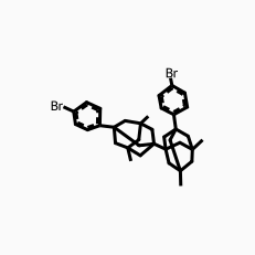 CC12CC3(C)CC(c4ccc(Br)cc4)(C1)CC(C14CC5(C)CC(C)(CC(c6ccc(Br)cc6)(C5)C1)C4)(C2)C3